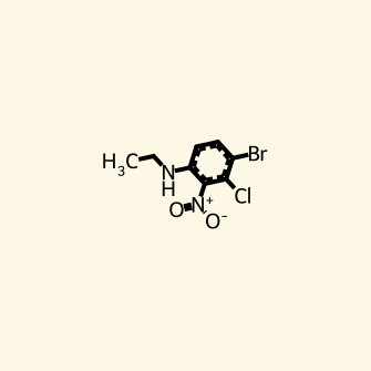 CCNc1ccc(Br)c(Cl)c1[N+](=O)[O-]